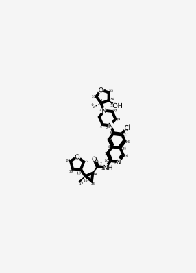 C[C@]1(N2CCN(c3cc4cc(NC(=O)[C@H]5C[C@]5(C)C5CCOC5)ncc4cc3Cl)CC2)COC[C@H]1O